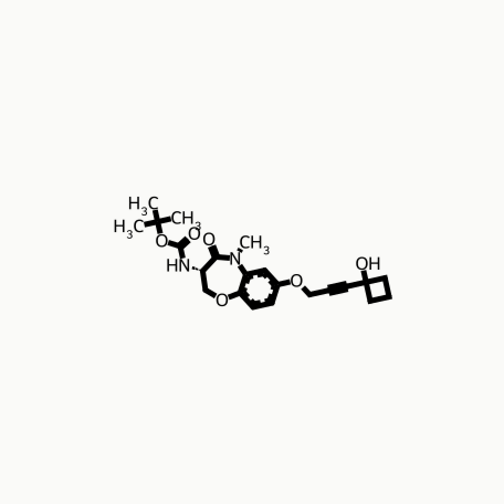 CN1C(=O)[C@@H](NC(=O)OC(C)(C)C)COc2ccc(OCC#CC3(O)CCC3)cc21